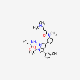 CC(C)C[C@H](N)C(=O)OC(C)n1cc(-c2cccc(C#N)c2)c2cc(-c3cccc(N(C)C(=O)/C=C/CN(C)C)c3)cnc21